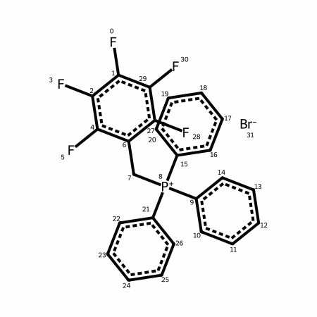 Fc1c(F)c(F)c(C[P+](c2ccccc2)(c2ccccc2)c2ccccc2)c(F)c1F.[Br-]